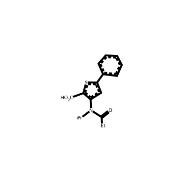 CCC(=O)N(c1cc(-c2ccccc2)sc1C(=O)O)C(C)C